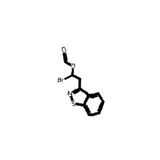 O=COC(Br)Cc1nsc2ccccc12